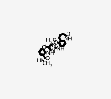 CNC(=O)c1ccccc1Nc1nc(Nc2ccc3c(c2OC)CCCC(=O)N3)ncc1Cl